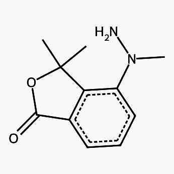 CN(N)c1cccc2c1C(C)(C)OC2=O